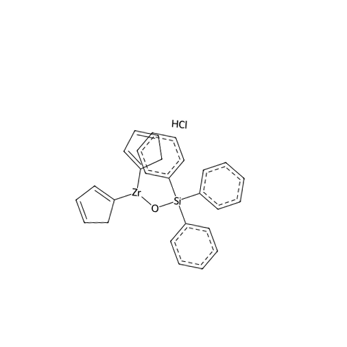 C1=CC[C]([Zr]([O][Si](c2ccccc2)(c2ccccc2)c2ccccc2)[C]2=CC=CC2)=C1.Cl